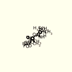 CNC(=O)c1cc2c(cc1N(C)C)CN(CC(=O)c1cc(N3CCCC3)c(OCC(=O)OC(=O)C(F)(F)F)c(C(C)(C)C)c1)C2=N